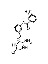 Cc1cccc(C(=O)Nc2cccc(COC3NC(Cl)CNC3N)c2)c1